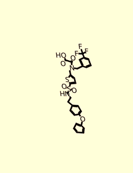 O=C(O)C(=O)N(Cc1cccc(C(F)(F)F)c1)Cc1ccc(S(=O)(=O)NCCc2ccc(Oc3ccccc3)cc2)s1